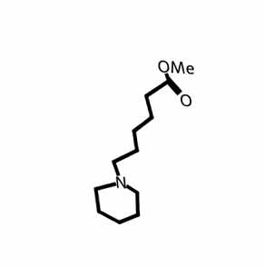 COC(=O)CCCCCN1CCCCC1